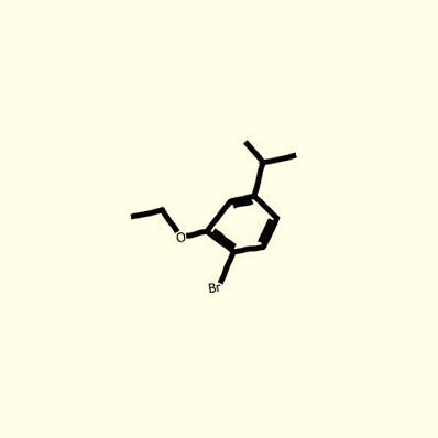 CCOc1cc([C](C)C)ccc1Br